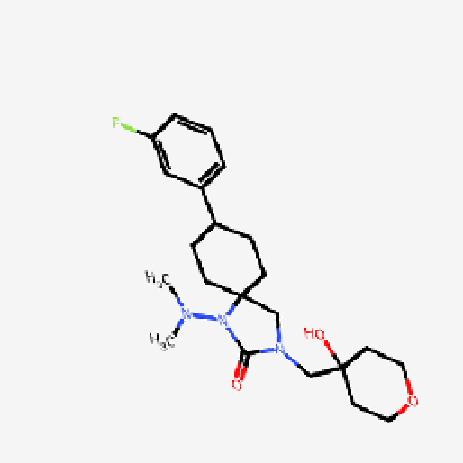 CN(C)N1C(=O)N(CC2(O)CCOCC2)CC12CCC(c1cccc(F)c1)CC2